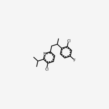 CC(C)c1nc(CC(C)c2ccc(F)cc2Cl)ccc1Cl